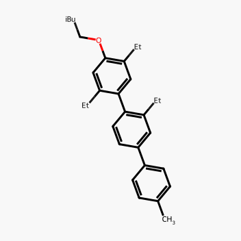 CCc1cc(-c2ccc(-c3ccc(C)cc3)cc2CC)c(CC)cc1OCC(C)CC